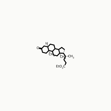 CCOC(=O)CC[C@@H](C)[C@H]1CCC2C3CC[C@@H]4CC(=O)CC[C@]4(C)C3CC[C@@]21C